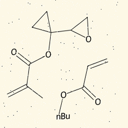 C=C(C)C(=O)OC1(C2CO2)CC1.C=CC(=O)OCCCC